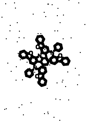 C1=CC2c3c(N(c4ccccc4)c4cccc5c4oc4ccccc45)cc4c(oc5ccccc54)c3N3c4c(c(N(c5ccccc5)c5cccc6c5oc5ccccc56)cc5c4oc4ccccc45)C(=C1)C23